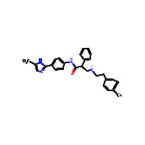 Cc1cnc(-c2ccc(NC(=O)C(CNCCc3ccc(C#N)cc3)c3ccccc3)cc2)[nH]1